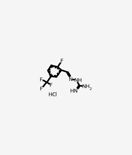 Cl.N=C(N)N/N=C/c1cc(C(F)(F)F)ccc1F